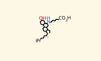 CC(C)CCC[C@@H](C)[C@H]1CCC2C3CC(NCCCCCC(=O)O)=C4CC(O)CC[C@]4(C)C3CC[C@@]21C